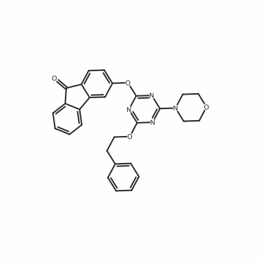 O=C1c2ccccc2-c2cc(Oc3nc(OCCc4ccccc4)nc(N4CCOCC4)n3)ccc21